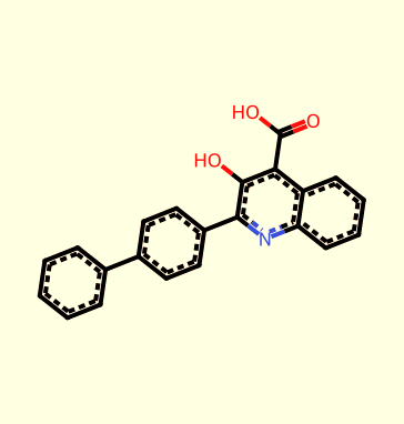 O=C(O)c1c(O)c(-c2ccc(-c3ccccc3)cc2)nc2ccccc12